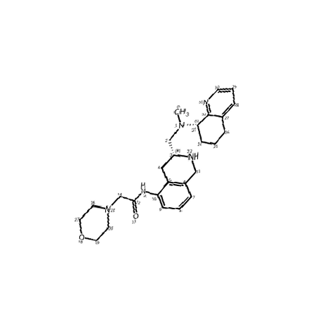 CN(C[C@H]1Cc2c(cccc2NC(=O)CN2CCOCC2)CN1)[C@H]1CCCc2cccnc21